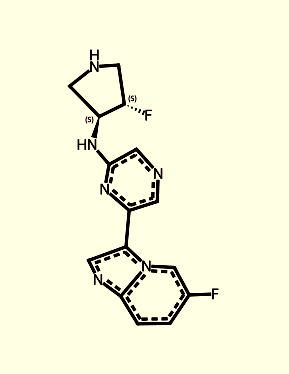 Fc1ccc2ncc(-c3cncc(N[C@H]4CNC[C@@H]4F)n3)n2c1